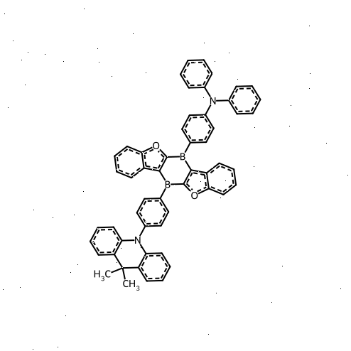 CC1(C)c2ccccc2N(c2ccc(B3c4oc5ccccc5c4B(c4ccc(N(c5ccccc5)c5ccccc5)cc4)c4oc5ccccc5c43)cc2)c2ccccc21